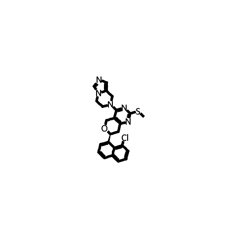 CSc1nc2c(c(N3CCn4cncc4C3)n1)CO[C@H](c1cccc3cccc(Cl)c13)C2